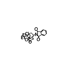 CCOP(=O)(OCC)SC(CCl)N1C(=O)c2ccccc2C1=O